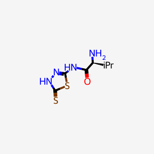 CC(C)[C@H](N)C(=O)Nc1n[nH]c(=S)s1